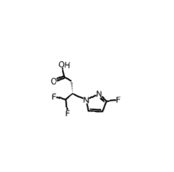 O=C(O)C[C@@H](C(F)F)n1ccc(F)n1